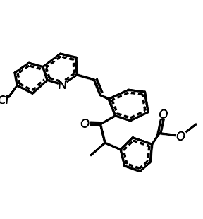 COC(=O)c1cccc(C(C)C(=O)c2ccccc2C=Cc2ccc3ccc(Cl)cc3n2)c1